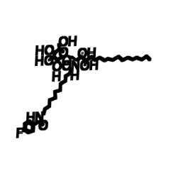 CCCCCCCCCCCCCC[C@@H](O)[C@@H](O)[C@H](CO[C@H]1OC(CO)[C@H](O)[C@H](O)C1O)NC(=O)CCCCCCCCCCCNC(=O)c1ccc(F)cc1